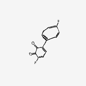 O=C1C(=O)C(c2ccc(F)cc2)=CC=C1F